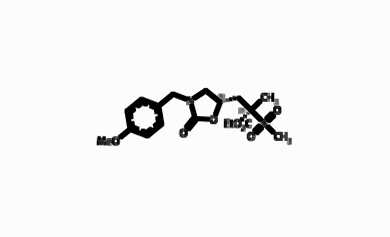 CCOC(=O)[C@@](C)(C[C@H]1CN(Cc2ccc(OC)cc2)C(=O)O1)S(C)(=O)=O